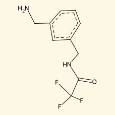 NCc1cccc(CNC(=O)C(F)(F)F)c1